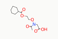 CC(=O)N(CC(=O)O)OCCOC(=O)C1CCCCC1